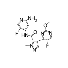 COc1ncc(F)c(-c2cnn(C)c2C(=O)Nc2cc(N)ncc2F)n1